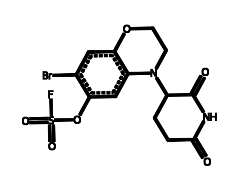 O=C1CCC(N2CCOc3cc(Br)c(OS(=O)(=O)F)cc32)C(=O)N1